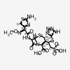 CON=C(C(=O)NC1C(=O)N2C(C(=O)O)=C(C(CS(=O)(=O)O)Sc3nnn[nH]3)CS[C@@H]12)c1csc(N)n1